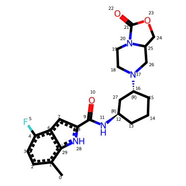 Cc1ccc(F)c2cc(C(=O)N[C@@H]3CCC[C@@H](N4CCN5C(=O)OCC5C4)C3)[nH]c12